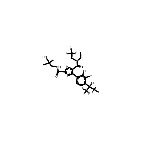 CCN(CC(F)(F)F)C(=O)c1nc(C(=O)NCC(C)(C)O)sc1-c1ccc(C(O)(C(F)(F)F)C(F)(F)F)c(Cl)c1Cl